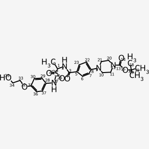 CC(NC(=O)c1ccc(N2CCN(C(=O)OC(C)(C)C)CC2)cc1)S(=O)(=O)Nc1ccc(OCCO)cc1